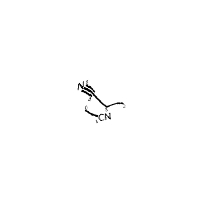 CC#N.CCC#N